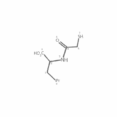 CC(C)CC(NC(=O)CS)C(=O)O